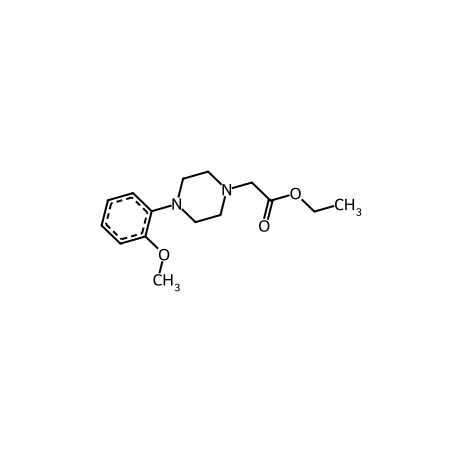 CCOC(=O)CN1CCN(c2ccccc2OC)CC1